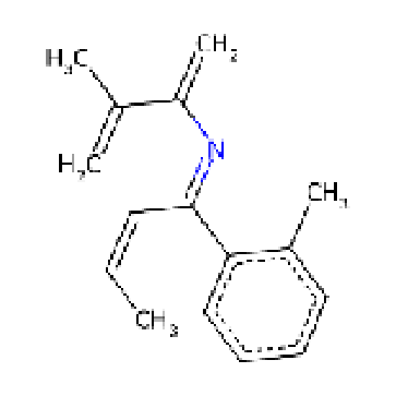 C=C(C)C(=C)/N=C(\C=C/C)c1ccccc1C